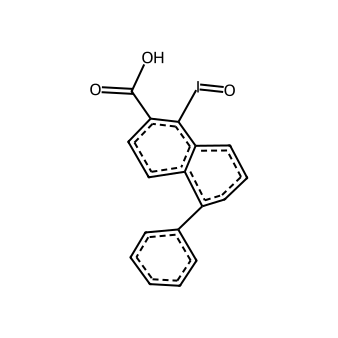 O=Ic1c(C(=O)O)ccc2c(-c3ccccc3)cccc12